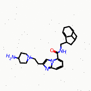 NC1CCN(CCc2cn3c(C(=O)NCC4CC5CC6CC=C4C5C6)cccc3n2)CC1